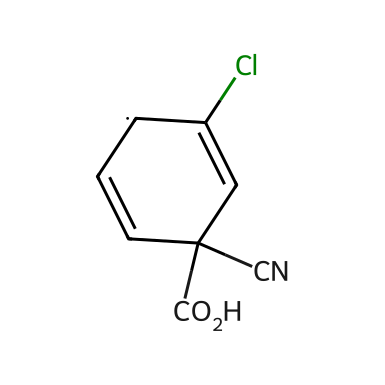 N#CC1(C(=O)O)C=C[CH]C(Cl)=C1